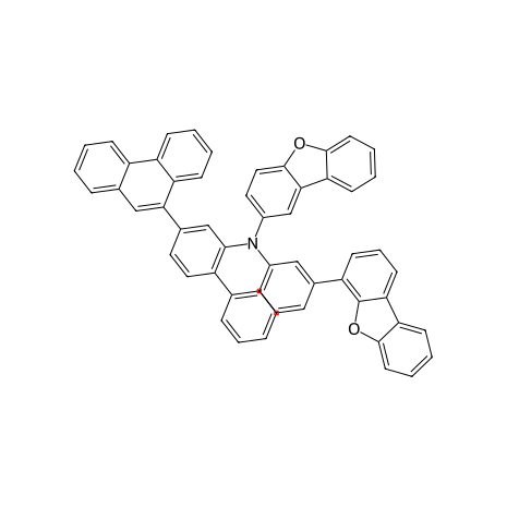 c1ccc(-c2ccc(-c3cc4ccccc4c4ccccc34)cc2N(c2cccc(-c3cccc4c3oc3ccccc34)c2)c2ccc3oc4ccccc4c3c2)cc1